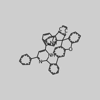 C1=CCNC(C2=CC(c3ccccc3)=NC(c3ccccc3-c3ccc4c(c3)Oc3ccccc3C43c4ccccc4-c4ccccc43)N2)=C1